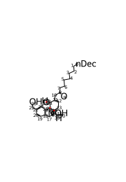 CCCCCCCCCCCCCCCCCC(=O)CC1=CC[C@@]2(O)[C@H]3Cc4ccc(CO)c5c4[C@@]2(CCN3C)[C@H]1O5